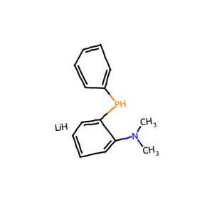 CN(C)c1ccccc1Pc1ccccc1.[LiH]